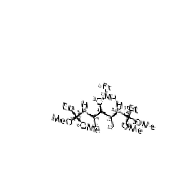 CCNOC(C(C)PC(CC)(OC)OC)C(C)PC(CC)(OC)OC